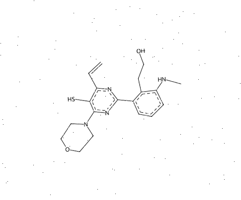 C=Cc1nc(-c2cccc(NC)c2CCO)nc(N2CCOCC2)c1S